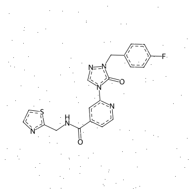 O=C(NCc1nccs1)c1ccnc(-n2cnn(Cc3ccc(F)cc3)c2=O)c1